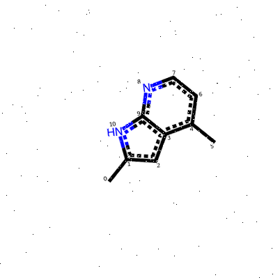 Cc1cc2c(C)ccnc2[nH]1